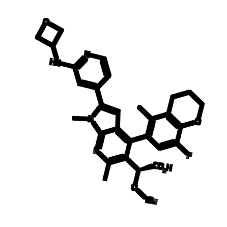 Cc1nc2c(cc(-c3ccnc(NC4COC4)c3)n2C)c(-c2cc(F)c3c(c2C)CCCO3)c1[C@H](OC(C)(C)C)C(=O)O